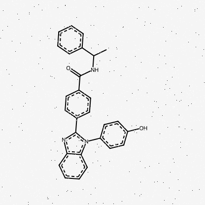 CC(NC(=O)c1ccc(-c2nc3ccccc3n2-c2ccc(O)cc2)cc1)c1ccccc1